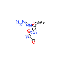 COc1ccc(NC(=O)c2cncc(-c3ccoc3)c2)cc1C(=O)NCCCN